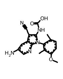 COc1ccc(C)c(-n2c(NC(=O)O)c(C#N)c3cc(N)cnc32)c1C